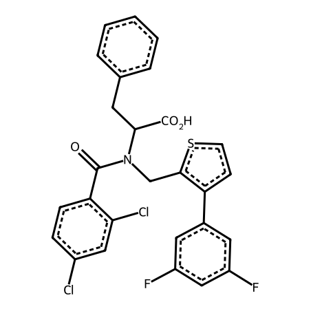 O=C(O)C(Cc1ccccc1)N(Cc1sccc1-c1cc(F)cc(F)c1)C(=O)c1ccc(Cl)cc1Cl